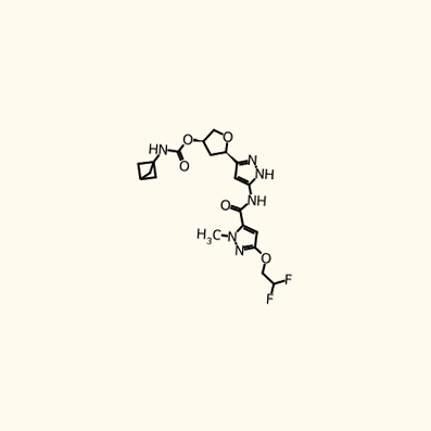 Cn1nc(OCC(F)F)cc1C(=O)Nc1cc([C@H]2C[C@@H](OC(=O)NC34CC(C3)C4)CO2)n[nH]1